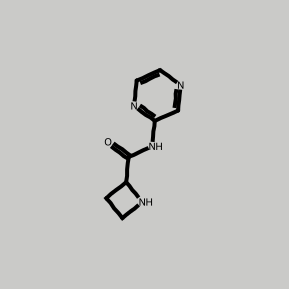 O=C(Nc1cnccn1)C1CCN1